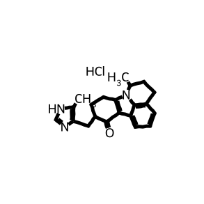 Cc1[nH]cnc1CC1CCc2c(c3cccc4c3n2C(C)CC4)C1=O.Cl